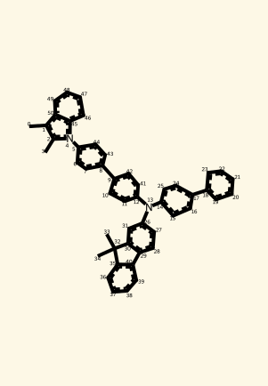 Cc1c(C)n(-c2ccc(-c3ccc(N(c4ccc(-c5ccccc5)cc4)c4ccc5c(c4)C(C)(C)c4ccccc4-5)cc3)cc2)c2ccccc12